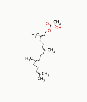 CC(C)=CCCC(C)=CCCC(C)=CCCC(C)=CCOC(=O)C(C)O